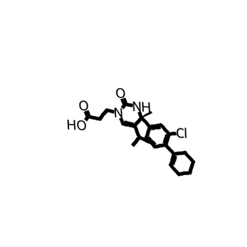 CC(C)C1=CN(CCC(=O)O)C(=O)N[C@]1(C)c1ccc(C2=CCCCC2)c(Cl)c1